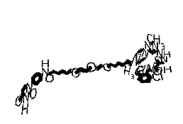 Cc1nc(Nc2ncc(C(O)Nc3c(C)cccc3Cl)s2)cc(N2CCN(CCCCCCOCCOCCOCCCCCC(=O)Nc3ccc(-n4ccc(=O)[nH]c4=O)cc3)CC2)n1